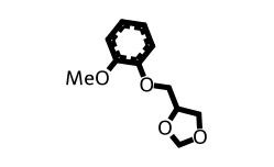 COc1ccccc1OCC1COCO1